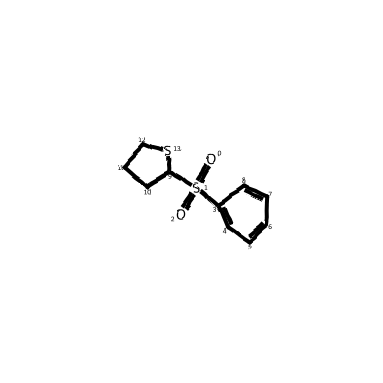 O=S(=O)(c1ccccc1)C1CCCS1